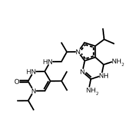 CC(C)C1=CN(C(C)C)C(=O)NC1NCC(C)n1cc(C(C)C)c2c1N=C(N)NC2N